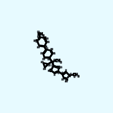 Cn1cc(-c2coc(C(C)(c3ccc(-c4cnc(N)nc4)cc3)C3CC3)n2)cn1